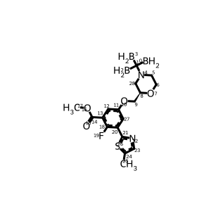 BC(B)(B)N1CCO[C@@H](COc2cc(C(=O)OC)c(F)c(-c3ncc(C)s3)c2)C1